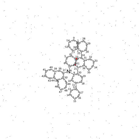 c1ccc(-c2ccc(N(c3cc(-c4ccccc4)ccc3-c3ccc(-c4ccccc4)c4ccccc34)c3cc4ccccc4c4ccccc34)cc2)cc1